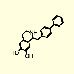 Oc1cc2c(cc1O)C(Cc1ccc(-c3ccccc3)cc1)NCC2